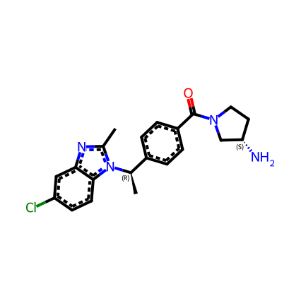 Cc1nc2cc(Cl)ccc2n1[C@H](C)c1ccc(C(=O)N2CC[C@H](N)C2)cc1